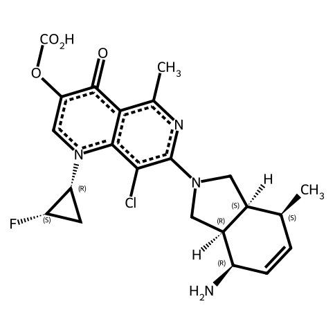 Cc1nc(N2C[C@@H]3[C@H](C2)[C@H](N)C=C[C@@H]3C)c(Cl)c2c1c(=O)c(OC(=O)O)cn2[C@@H]1C[C@@H]1F